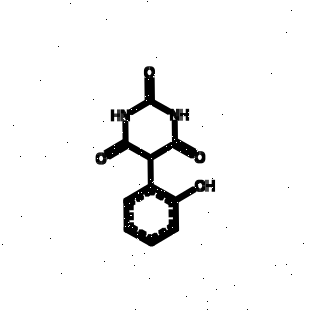 O=C1NC(=O)C(c2ccccc2O)C(=O)N1